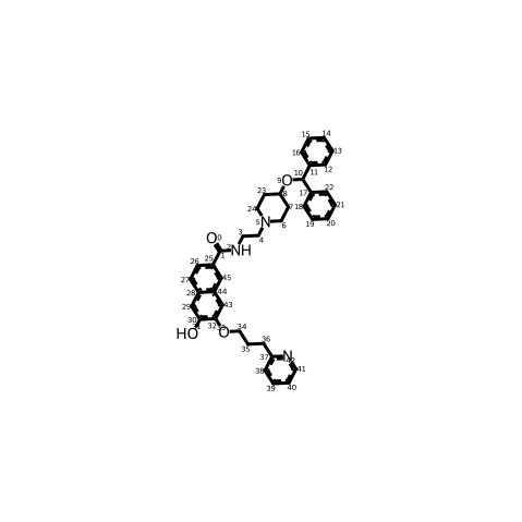 O=C(NCCN1CCC(OC(c2ccccc2)c2ccccc2)CC1)c1ccc2cc(O)c(OCCCc3ccccn3)cc2c1